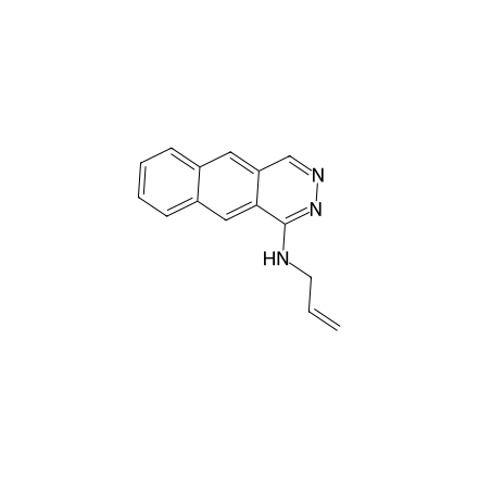 C=CCNc1nncc2cc3ccccc3cc12